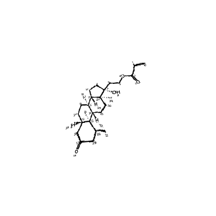 CCC(=O)OCC[C@]1(O)CC[C@H]2[C@@H]3CC[C@H]4CC(=O)C[C@H](C)[C@]4(C)[C@H]3CC[C@@]21C